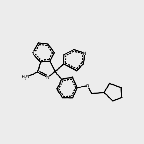 NC1=NC(c2ccncc2)(c2cccc(OCC3CCCC3)c2)c2cccnc21